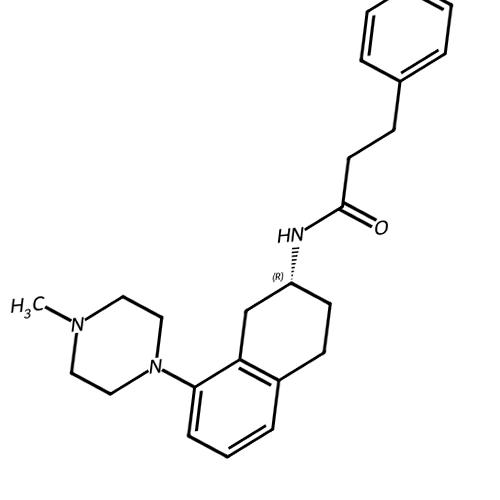 CN1CCN(c2cccc3c2C[C@H](NC(=O)CCc2ccccc2)CC3)CC1